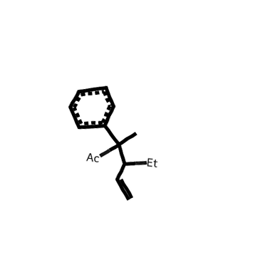 C=CC(CC)C(C)(C(C)=O)c1ccccc1